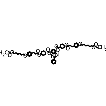 C=CC(=O)OCCCCCCOc1ccc(CCC(=O)OC2CCC(C(=O)Oc3ccc(OC(=O)[C@H]4CC[C@H](OC(=O)CCc5ccc(OCCCCCCOC(=O)C=C)cc5)CC4)c4nc(-c5ccccc5)cnc34)CC2)cc1